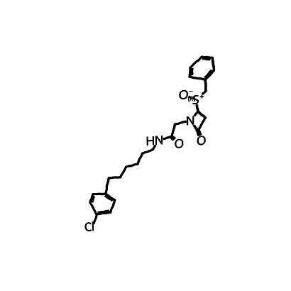 O=C(CN1C(=O)CC1[S@@+]([O-])Cc1ccccc1)NCCCCCCc1ccc(Cl)cc1